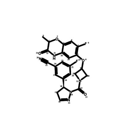 CC1Oc2cc(F)c(OC3CN(C(=O)N4N=CC[C@H]4c4cc(F)cc(C#N)c4)C3)cc2NC1=O